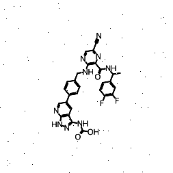 CC(NC(=O)c1nc(C#N)cnc1NCc1ccc(-c2cnc3[nH]nc(NC(=O)O)c3c2)cc1)c1ccc(F)c(F)c1